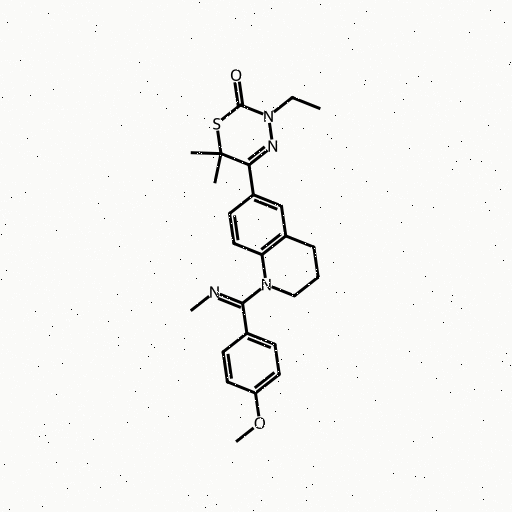 CCN1N=C(c2ccc3c(c2)CCCN3C(=NC)c2ccc(OC)cc2)C(C)(C)SC1=O